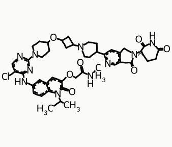 CNC(=O)COc1cc2cc(Nc3nc(N4CCC(OC5CC(N6CCC(c7cc8c(cn7)C(=O)N([C@@H]7CCC(=O)NC7=O)C8)CC6)C5)CC4)ncc3Cl)ccc2n(C(C)C)c1=O